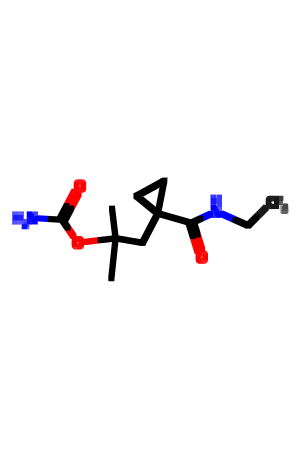 CC(C)(CC1(C(=O)NCC(F)(F)F)CC1)OC(N)=O